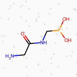 NCC(=O)NCP(O)O